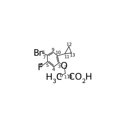 C[C@H](Oc1cc(F)c(Br)cc1C1CC1)C(=O)O